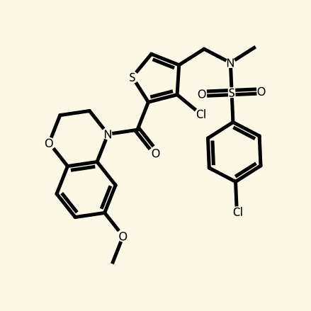 COc1ccc2c(c1)N(C(=O)c1scc(CN(C)S(=O)(=O)c3ccc(Cl)cc3)c1Cl)CCO2